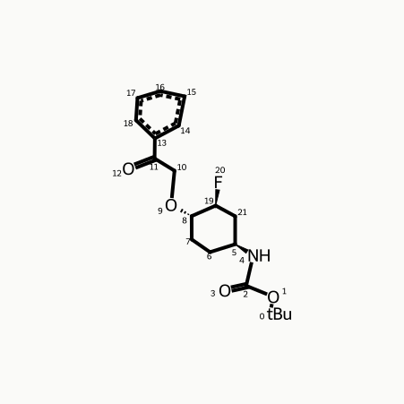 CC(C)(C)OC(=O)N[C@H]1CC[C@H](OCC(=O)c2ccccc2)[C@@H](F)C1